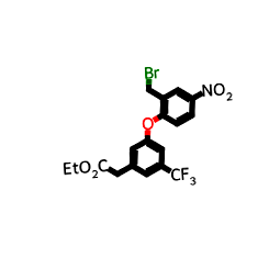 CCOC(=O)Cc1cc(Oc2ccc([N+](=O)[O-])cc2CBr)cc(C(F)(F)F)c1